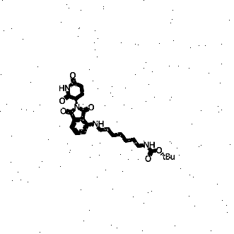 CC(C)(C)OC(=O)NCCCCCCCNc1cccc2c1C(=O)N([C@@H]1CCC(=O)NC1=O)C2=O